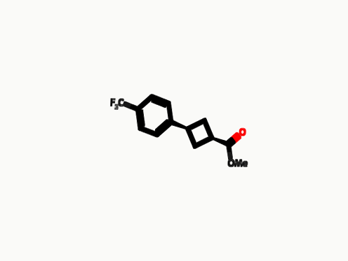 COC(=O)[C@H]1C[C@@H](c2ccc(C(F)(F)F)cc2)C1